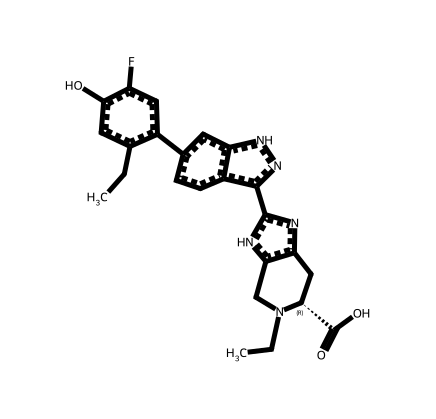 CCc1cc(O)c(F)cc1-c1ccc2c(-c3nc4c([nH]3)CN(CC)[C@@H](C(=O)O)C4)n[nH]c2c1